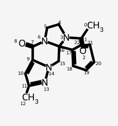 CC(=O)N1CCN2C(=O)c3cc(C)nn3CC12c1ccccc1